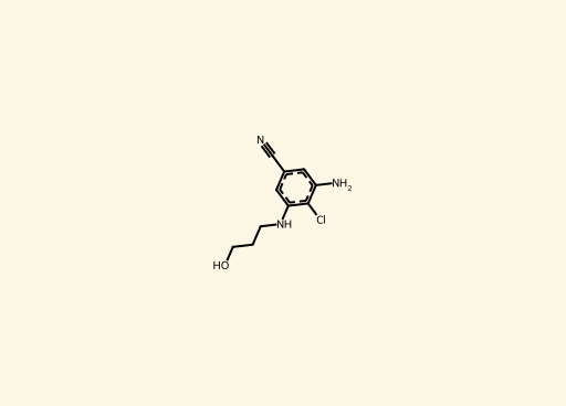 N#Cc1cc(N)c(Cl)c(NCCCO)c1